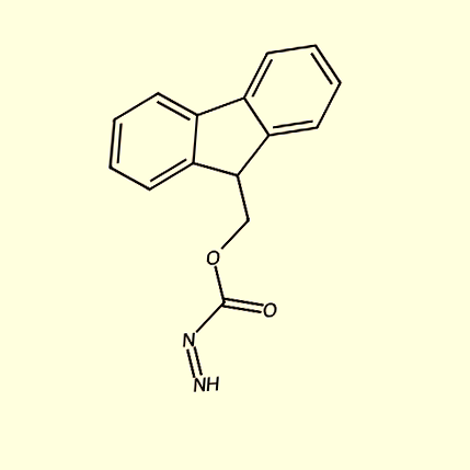 N=NC(=O)OCC1c2ccccc2-c2ccccc21